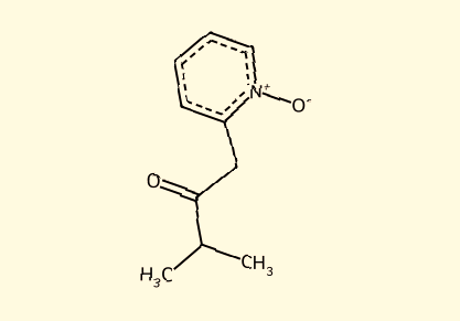 CC(C)C(=O)Cc1cccc[n+]1[O-]